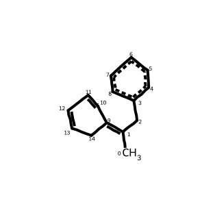 CC(Cc1ccccc1)=C1[C]=CC=CC1